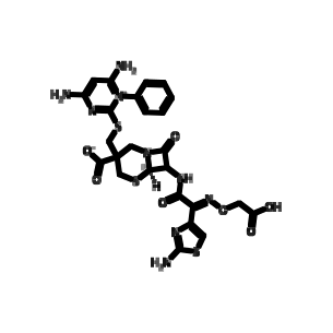 Nc1cc(N)[n+](-c2ccccc2)c(SCC2(C(=O)[O-])CS[C@@H]3C(NC(=O)C(=NOCC(=O)O)c4csc(N)n4)C(=O)N3C2)n1